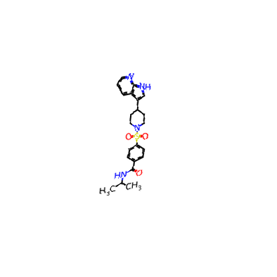 CC(C)NC(=O)c1ccc(S(=O)(=O)N2CCC(c3c[nH]c4ncccc34)CC2)cc1